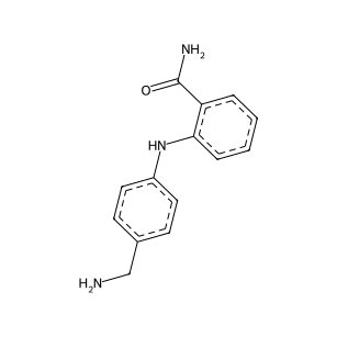 NCc1ccc(Nc2ccccc2C(N)=O)cc1